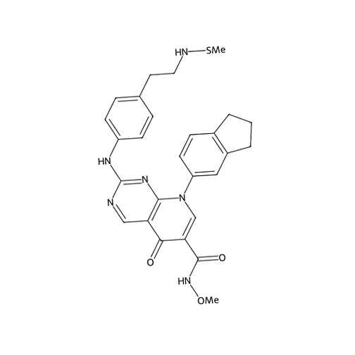 CONC(=O)c1cn(-c2ccc3c(c2)CCC3)c2nc(Nc3ccc(CCNSC)cc3)ncc2c1=O